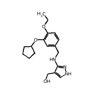 CCOc1ccc(CNc2n[nH]cc2CO)cc1OC1CCCC1